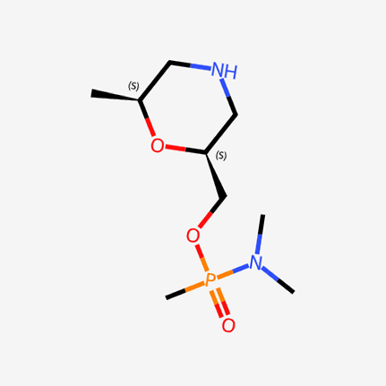 C[C@H]1CNC[C@@H](COP(C)(=O)N(C)C)O1